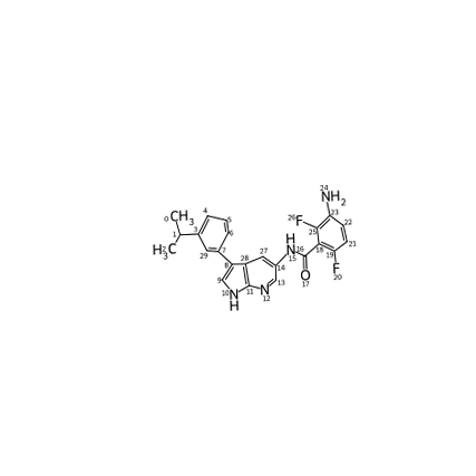 CC(C)c1cccc(-c2c[nH]c3ncc(NC(=O)c4c(F)ccc(N)c4F)cc23)c1